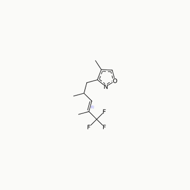 C/C(=C\C(C)Cc1nocc1C)C(F)(F)F